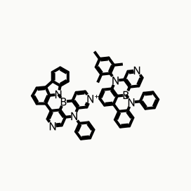 Cc1cc(C)c(N2c3cnccc3B3c4c(cc(-[n+]5ccc6c(c5)N(c5ccccc5)c5cncc7c5B6n5c6ccccc6c6cccc-7c65)cc42)-c2ccccc2N3c2ccccc2)c(C)c1